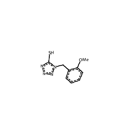 COc1ccccc1Cn1nnnc1S